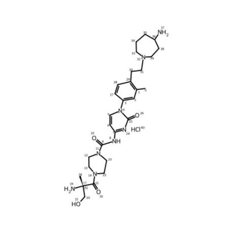 Cc1cc(-n2ccc(NC(=O)N3CCN(C(=O)[C@@](C)(N)CO)CC3)nc2=O)ccc1CCN1CCCC(N)CC1.Cl